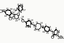 CCC(C)n1ncn(-c2ccc(N3CCN(c4ccc(OC[C@@H]5CO[C@@](Cn6cncn6)(c6ccc(Cl)cc6Cl)O5)cn4)CC3)cc2)c1=O